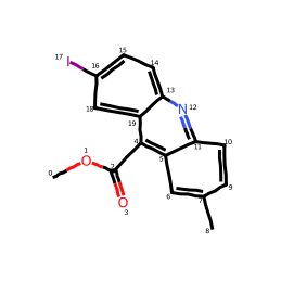 COC(=O)c1c2cc(C)ccc2nc2ccc(I)cc12